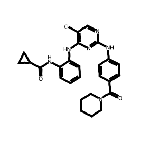 O=C(Nc1ccccc1Nc1nc(Nc2ccc(C(=O)N3CCCCC3)cc2)ncc1Cl)C1CC1